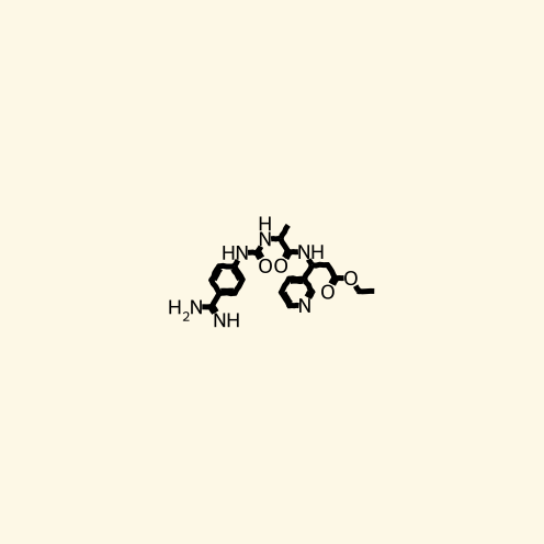 CCOC(=O)CC(NC(=O)C(C)NC(=O)Nc1ccc(C(=N)N)cc1)c1cccnc1